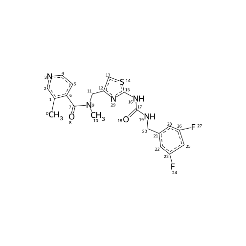 Cc1cnccc1C(=O)N(C)Cc1csc(NC(=O)NCc2cc(F)cc(F)c2)n1